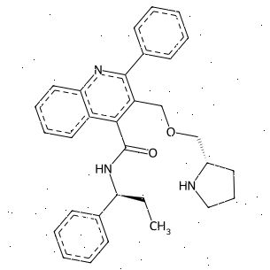 CC[C@H](NC(=O)c1c(COC[C@@H]2CCCN2)c(-c2ccccc2)nc2ccccc12)c1ccccc1